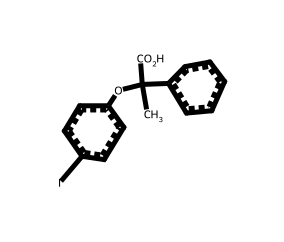 CC(Oc1ccc(I)cc1)(C(=O)O)c1ccccc1